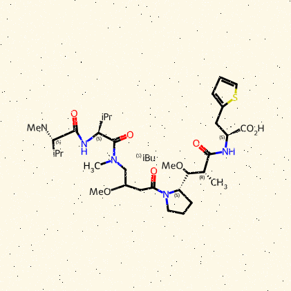 CC[C@H](C)C(C(CC(=O)N1CCC[C@H]1C(OC)[C@@H](C)C(=O)N[C@@H](Cc1cccs1)C(=O)O)OC)N(C)C(=O)[C@@H](NC(=O)[C@@H](NC)C(C)C)C(C)C